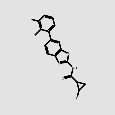 Cc1c(F)cccc1-c1ccc2nc(NC(=O)C3CC3F)sc2c1